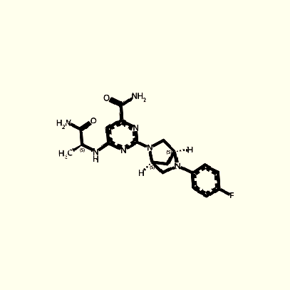 C[C@H](Nc1cc(C(N)=O)nc(N2C[C@@H]3C[C@H]2CN3c2ccc(F)cc2)n1)C(N)=O